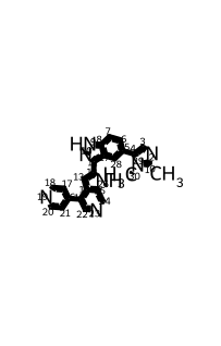 Cc1ncc(-c2ccc3[nH]nc(-c4cc5c(-c6ccncc6)cncc5[nH]4)c3c2)n1C